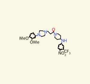 COc1ccc(N2CCN(CCC(=O)N3CCC(Nc4ccc([N+](=O)[O-])c(C(F)(F)F)c4)CC3)CC2)cc1OC